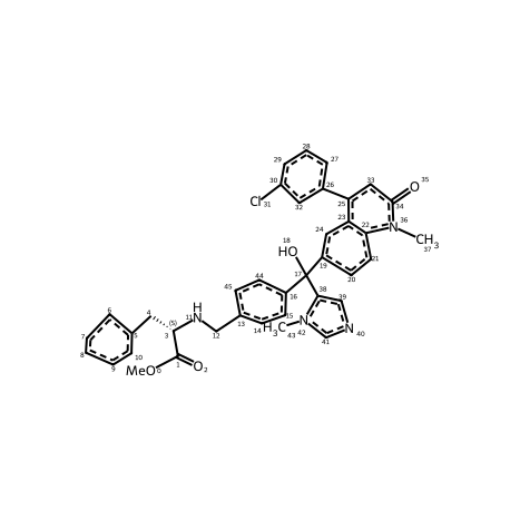 COC(=O)[C@H](Cc1ccccc1)NCc1ccc(C(O)(c2ccc3c(c2)c(-c2cccc(Cl)c2)cc(=O)n3C)c2cncn2C)cc1